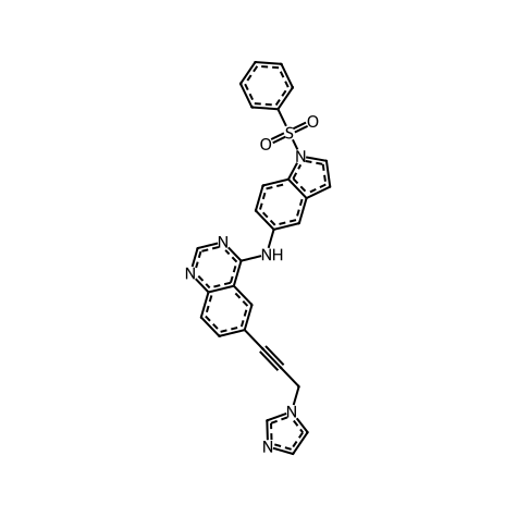 O=S(=O)(c1ccccc1)n1ccc2cc(Nc3ncnc4ccc(C#CCn5ccnc5)cc34)ccc21